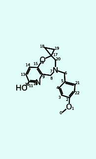 COc1ccc(CN2Cc3nc(O)ccc3OC3(CC3)C2)cc1